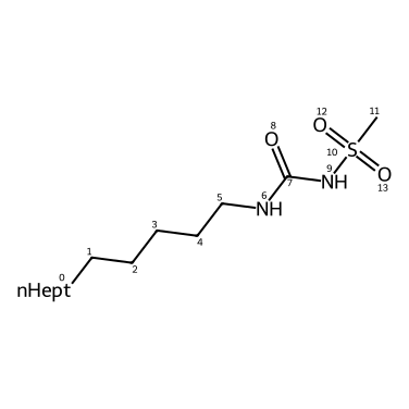 CCCCCCCCCCCCNC(=O)NS(C)(=O)=O